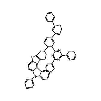 C1=CCCC(c2nc(-c3ccccc3)nc(-c3cc(C4=CCCC(c5ccccc5)=C4)ccc3C3CCc4c(oc5ccc6c(c7ccccc7n6-c6ccccc6)c45)C3)n2)=C1